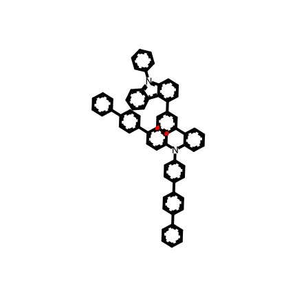 c1ccc(-c2ccc(-c3ccc(N(c4ccc(-c5ccc(-c6ccccc6)cc5)cc4)c4ccccc4-c4cccc(-c5cccc6c5c5ccccc5n6-c5ccccc5)c4)cc3)cc2)cc1